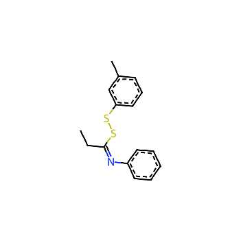 CCC(=Nc1ccccc1)SSc1cccc(C)c1